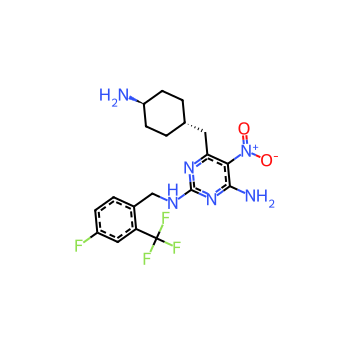 Nc1nc(NCc2ccc(F)cc2C(F)(F)F)nc(C[C@H]2CC[C@H](N)CC2)c1[N+](=O)[O-]